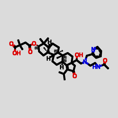 CC(=O)NCCN(Cc1ccccn1)CC(O)C12CC[C@]3(C)[C@H](CC[C@@H]4[C@@]5(C)CC[C@H](OC(=O)CC(C)(C)C(=O)O)C(C)(C)[C@@H]5CC[C@]43C)C1=C(C(C)C)C(=O)C2